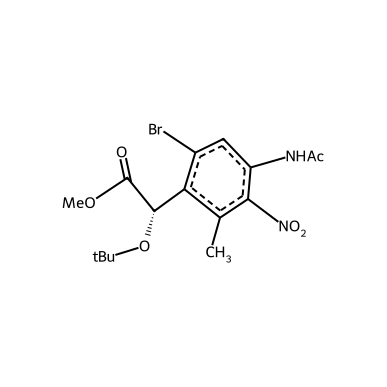 COC(=O)[C@@H](OC(C)(C)C)c1c(Br)cc(NC(C)=O)c([N+](=O)[O-])c1C